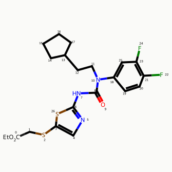 CCOC(=O)CSc1cnc(NC(=O)N(CCC2CCCC2)c2ccc(F)c(F)c2)s1